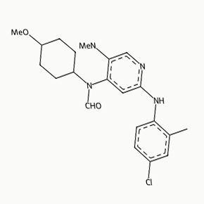 CNc1cnc(Nc2ccc(Cl)cc2C)cc1N(C=O)C1CCC(OC)CC1